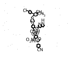 CC1(C)CCC(CN2CCN(c3ccc(C(=O)NS(=O)(=O)c4cc5c(c([N+](=O)[O-])c4)N[C@@H](c4ccc(C#N)cc4)CO5)c(Oc4cnc5[nH]ccc5c4)c3)CC2)=C(c2ccc(Cl)cc2)C1